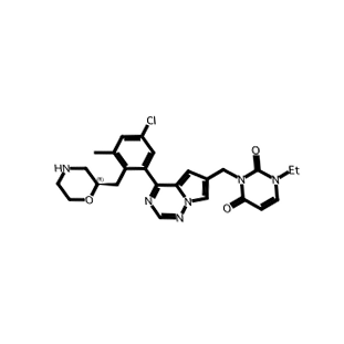 CCn1ccc(=O)n(Cc2cc3c(-c4cc(Cl)cc(C)c4C[C@@H]4CNCCO4)ncnn3c2)c1=O